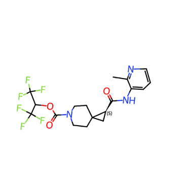 Cc1ncccc1NC(=O)[C@H]1CC12CCN(C(=O)OC(C(F)(F)F)C(F)(F)F)CC2